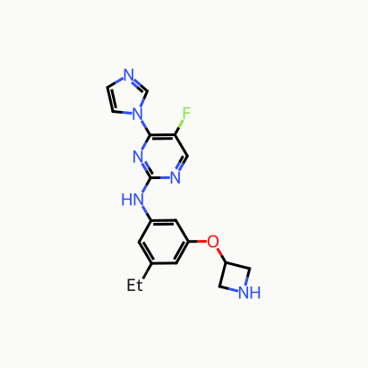 CCc1cc(Nc2ncc(F)c(-n3ccnc3)n2)cc(OC2CNC2)c1